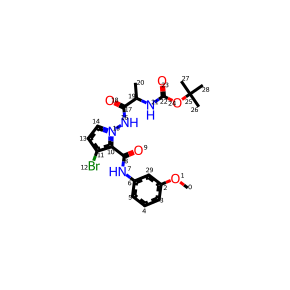 COc1cccc(NC(=O)c2c(Br)ccn2NC(=O)C(C)NC(=O)OC(C)(C)C)c1